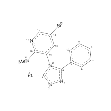 CCc1nnc(-c2ccccc2)n1-c1cc(Br)cnc1NC